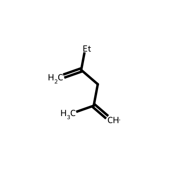 [CH]=C(C)CC(=C)CC